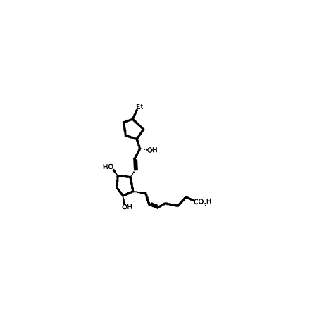 CCC1CCC([C@H](O)/C=C/[C@@H]2[C@@H](C/C=C\CCCC(=O)O)[C@@H](O)C[C@H]2O)C1